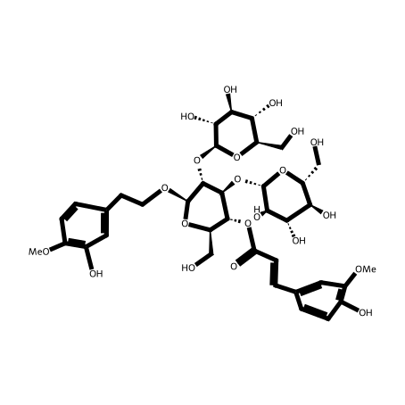 COc1ccc(CCO[C@@H]2O[C@H](CO)[C@@H](OC(=O)/C=C/c3ccc(O)c(OC)c3)[C@H](O[C@@H]3O[C@H](CO)[C@@H](O)[C@H](O)[C@H]3O)[C@H]2O[C@@H]2O[C@H](CO)[C@@H](O)[C@H](O)[C@H]2O)cc1O